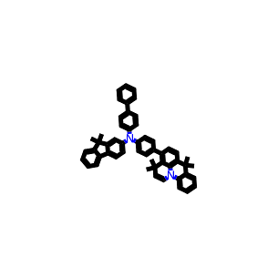 CC1(C)C=CN2c3ccccc3C(C)(C)c3ccc(-c4ccc(N(c5ccc(-c6ccccc6)cc5)c5ccc6c(c5)C(C)(C)c5ccccc5-6)cc4)c1c32